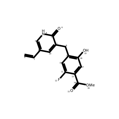 C=Cc1c[nH]c(=O)c(Cc2cc(F)c(C(=O)OC)cc2O)c1